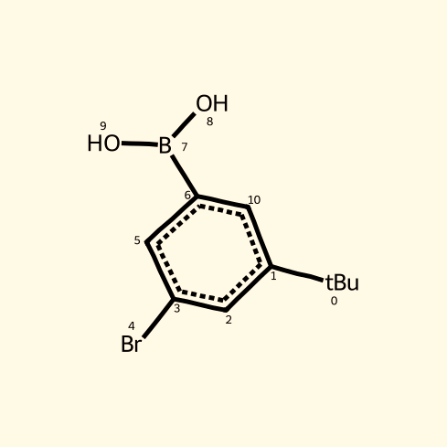 CC(C)(C)c1cc(Br)cc(B(O)O)c1